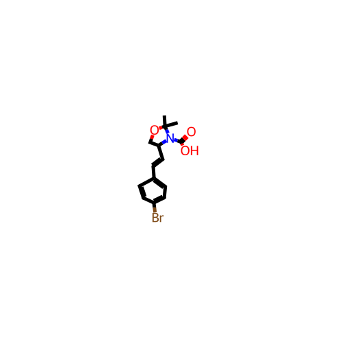 CC1(C)OCC(C=Cc2ccc(Br)cc2)N1C(=O)O